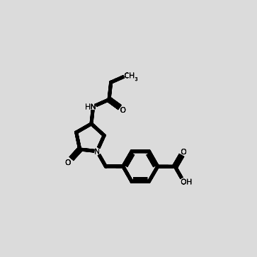 CCC(=O)NC1CC(=O)N(Cc2ccc(C(=O)O)cc2)C1